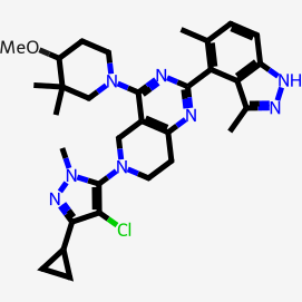 COC1CCN(c2nc(-c3c(C)ccc4[nH]nc(C)c34)nc3c2CN(c2c(Cl)c(C4CC4)nn2C)CC3)CC1(C)C